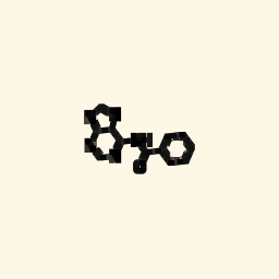 O=C(NC1=NC=NC2=NC=NC21)c1ccccc1